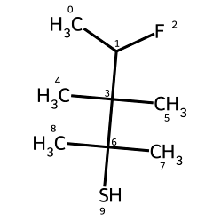 CC(F)C(C)(C)C(C)(C)S